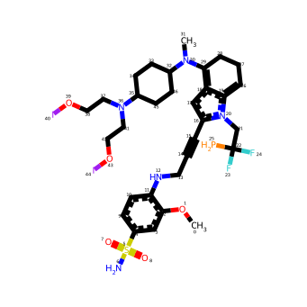 COc1cc(S(N)(=O)=O)ccc1NCC#Cc1cc2c(n1CC(F)(F)P)=CCCC=2N(C)C1CCC(N(CCOI)CCOI)CC1